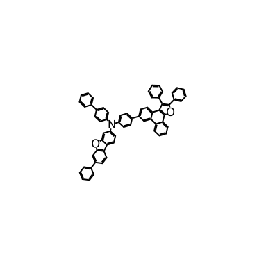 c1ccc(-c2ccc(N(c3ccc(-c4ccc5c(c4)c4ccccc4c4oc(-c6ccccc6)c(-c6ccccc6)c54)cc3)c3ccc4c(c3)oc3cc(-c5ccccc5)ccc34)cc2)cc1